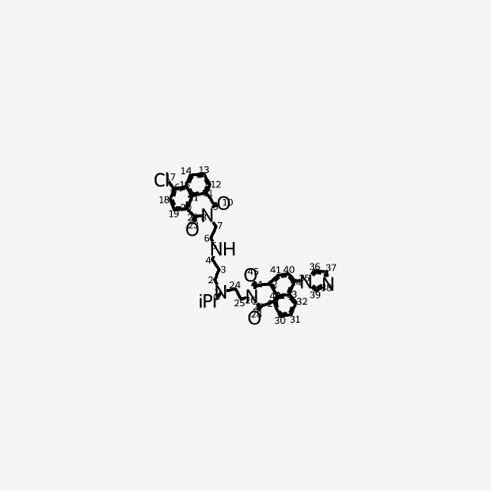 CC(C)N(CCCNCCN1C(=O)c2cccc3c(Cl)ccc(c23)C1=O)CCN1C(=O)c2cccc3c(-n4ccnc4)ccc(c23)C1=O